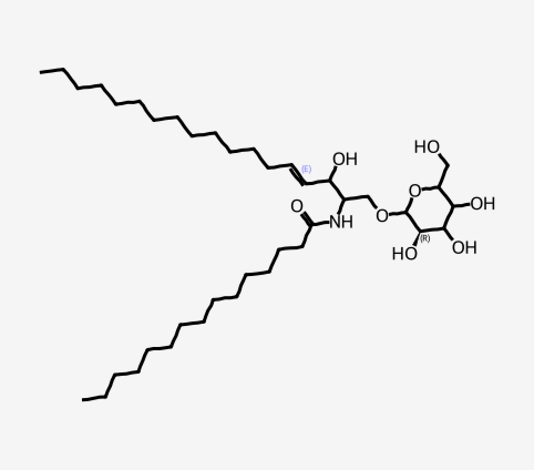 CCCCCCCCCCCCC/C=C/C(O)C(COC1OC(CO)C(O)C(O)[C@H]1O)NC(=O)CCCCCCCCCCCCCC